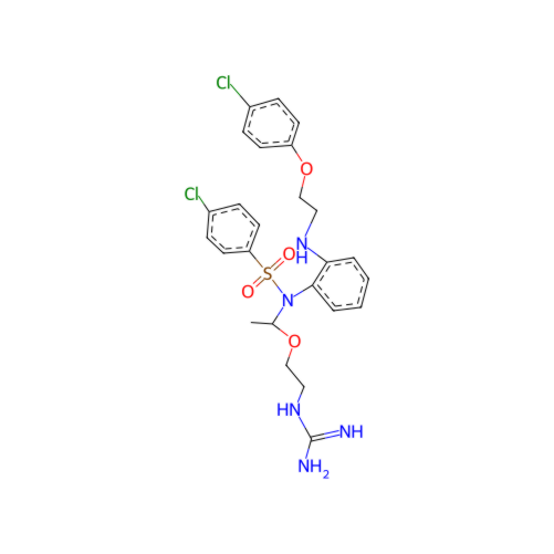 CC(OCCNC(=N)N)N(c1ccccc1NCCOc1ccc(Cl)cc1)S(=O)(=O)c1ccc(Cl)cc1